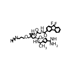 CC(NC(=O)[C@@H]1C[C@]2(COCCCN=[N+]=[N-])C[C@@H]2N1C(=O)CNC(=O)c1ccc2c(c1)-c1ccccc1C2(F)F)c1cc(C(=N)N)cs1